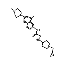 Cc1cc(N2CCN(C)CC2)nc2ccc(NC(=O)CNC3CCN(CC4CC4)CC3)cc12